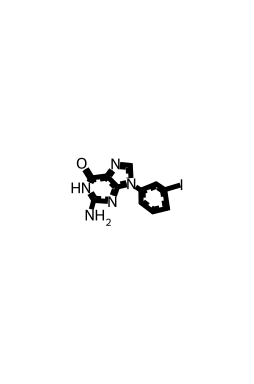 Nc1nc2c(ncn2-c2cccc(I)c2)c(=O)[nH]1